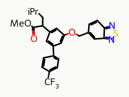 COC(=O)C(CC(C)C)c1cc(OCc2ccc3nsnc3c2)cc(-c2ccc(C(F)(F)F)cc2)c1